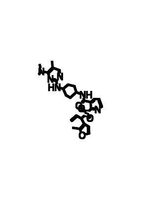 C=CC(c1ccoc1C)S(=O)(=O)c1ncccc1C(=O)NC1CCC(Nc2ncc(C)c(N(C)C)n2)CC1